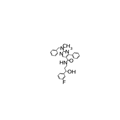 CN(Cc1ccccc1)c1ncc(C(=O)NCCC(O)c2cccc(F)c2)c(-c2ccccc2)n1